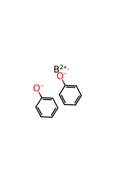 [B+2].[O-]c1ccccc1.[O-]c1ccccc1